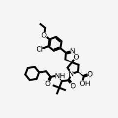 CCOc1ccc(C2=NO[C@]3(C2)C[C@@H](C(=O)O)N(C(=O)[C@@H](NC(=O)CC2CCCCC2)C(C)(C)C)C3)cc1Cl